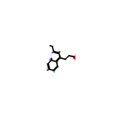 CCc1nc2cc(C)c(F)cc2c(CCC(=O)O)c1C